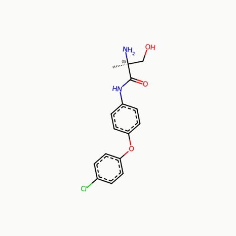 C[C@](N)(CO)C(=O)Nc1ccc(Oc2ccc(Cl)cc2)cc1